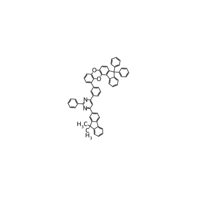 CC1(C)c2ccccc2-c2ccc(-c3cc(-c4cccc(-c5cccc6c5Oc5c(ccc7c5-c5ccccc5C7(c5ccccc5)c5ccccc5)O6)c4)nc(-c4ccccc4)n3)cc21